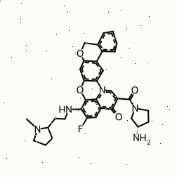 CN1CCCC1CCNc1c(F)cc2c(=O)c(C(=O)N3CC[C@H](N)C3)cn3c2c1Oc1cc2c(cc1-3)-c1ccccc1CO2